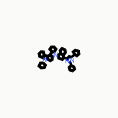 c1ccc(-c2cc(-c3ccc(-n4c5ccccc5c5c6c7ccccc7n(-c7ccccc7)c6ccc54)c4ccccc34)nc(-c3ccccc3)n2)cc1